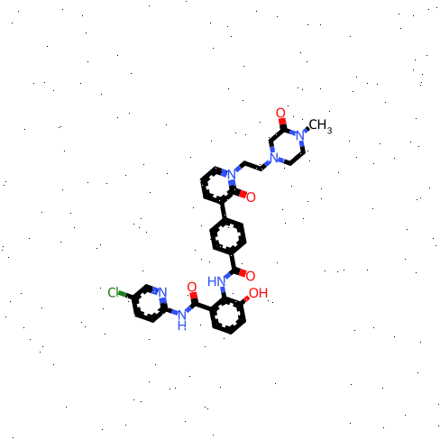 CN1CCN(CCn2cccc(-c3ccc(C(=O)Nc4c(O)cccc4C(=O)Nc4ccc(Cl)cn4)cc3)c2=O)CC1=O